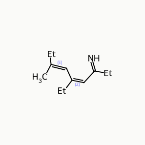 CCC(=N)/C=C(\C=C(/C)CC)CC